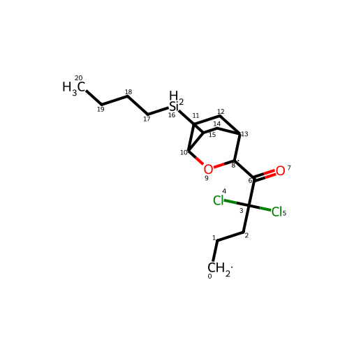 [CH2]CCC(Cl)(Cl)C(=O)[C]1OC2CCC1CC2[SiH2]CCCC